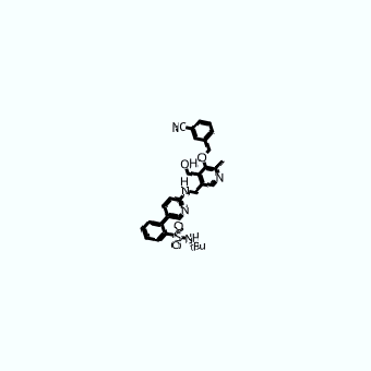 Cc1ncc(CNc2ccc(-c3ccccc3S(=O)(=O)NC(C)(C)C)cn2)c(CO)c1OCc1cccc(C#N)c1